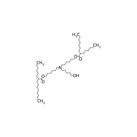 CCCCCCCCC(CCCCCC)C(=O)OCCCCCCN(CCCCCO)CCCCCCOC(=O)C(CCCCCC)CCCCCCC